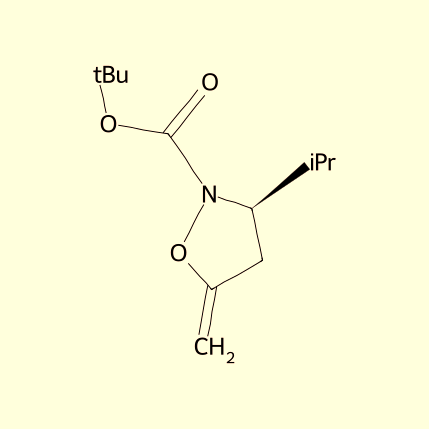 C=C1C[C@H](C(C)C)N(C(=O)OC(C)(C)C)O1